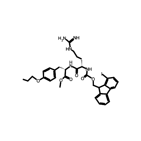 CCCOc1ccc(C[C@H](NC(=O)[C@H](CCCNC(=N)N)NC(=O)OCC2c3ccccc3-c3cccc(I)c32)C(=O)OC)cc1